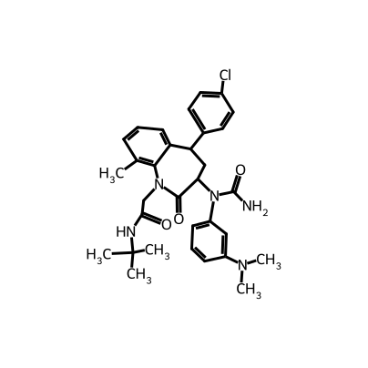 Cc1cccc2c1N(CC(=O)NC(C)(C)C)C(=O)C(N(C(N)=O)c1cccc(N(C)C)c1)CC2c1ccc(Cl)cc1